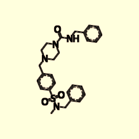 CN(Cc1ccccc1)S(=O)(=O)c1ccc(CN2CCN(C(=O)NCc3ccccc3)CC2)cc1